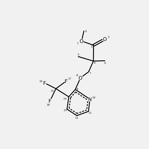 COC(=O)C(C)(C)COc1ncccc1C(F)(F)F